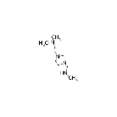 CNCN1CCN(CCN(C)C)CC1